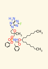 CCCCCCCCC(CCCCCCCC)OC(=O)[C@H](Cc1ccccc1)NP(=O)(OC[C@]1(C)CC[C@H](n2cnc3c(N)nc(F)nc32)O1)Oc1ccccc1